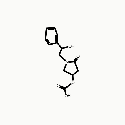 O=C(O)OC1CC(=O)N(CC(O)c2ccccc2)C1